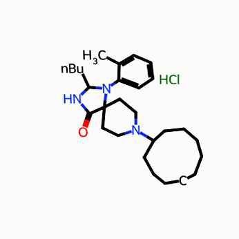 CCCCC1NC(=O)C2(CCN(C3CCCCCCCCC3)CC2)N1c1ccccc1C.Cl